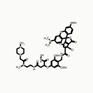 CNc1ccc2c(c1)Oc1cc(N(C)C)ccc1C21OC(=O)c2c(Cl)c(C(=O)NCc3c(OC)cc(OC(CC(=O)NCCN(C)C(=O)CN4CCN(C)CC4)C(=O)NS)cc3OC)cc(Cl)c21